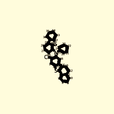 Clc1cc2sc3c4ccccc4ccc3c2cc1N(c1ccccc1)c1cccc2c1sc1ccccc12